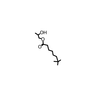 CC(O)COC(=O)CCCCCC(C)(C)C